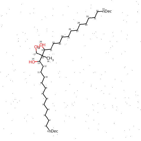 CCCCCCCCCCCCCCCCCCCCCCC(O)C(C)(CO)C(O)CCCCCCCCCCCCCCCCCCCCCC